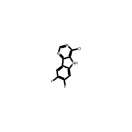 Fc1cc2[nH]c3c(Cl)ncnc3c2cc1F